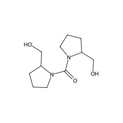 O=C(N1CCCC1CO)N1CCCC1CO